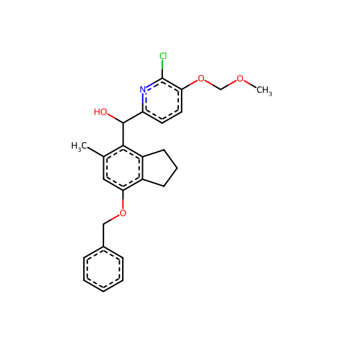 COCOc1ccc(C(O)c2c(C)cc(OCc3ccccc3)c3c2CCC3)nc1Cl